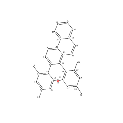 Cc1cc(C)c(-c2ccc3c(c[c]c4ccccc43)c2-c2c(C)cc(C)cc2C)c(C)c1